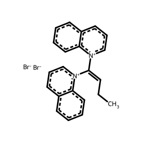 CCC=C([n+]1cccc2ccccc21)[n+]1cccc2ccccc21.[Br-].[Br-]